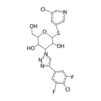 OCC1OC(Sc2cncc(Cl)c2)C(O)C(n2cc(-c3cc(F)c(Cl)c(F)c3)nn2)C1O